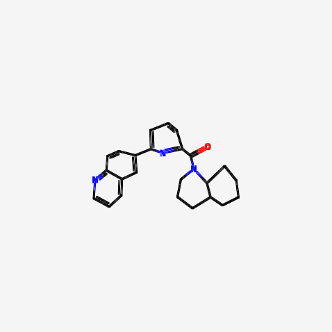 O=C(c1cccc(-c2ccc3ncccc3c2)n1)N1CCCC2CCCCC21